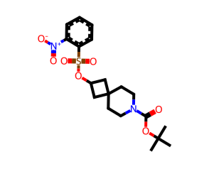 CC(C)(C)OC(=O)N1CCC2(CC1)CC(OS(=O)(=O)c1ccccc1[N+](=O)[O-])C2